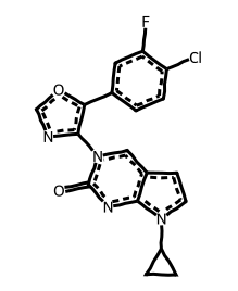 O=c1nc2c(ccn2C2CC2)cn1-c1ncoc1-c1ccc(Cl)c(F)c1